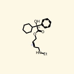 CCNC/C=C\COC(=O)[C@@](O)(c1ccccc1)C1CCCCC1